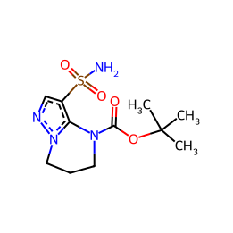 CC(C)(C)OC(=O)N1CCCn2ncc(S(N)(=O)=O)c21